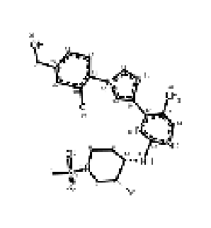 C[C@@H]1CN(S(C)(=O)=O)CC[C@@H]1Nc1ncc(C(F)(F)F)c(-c2cn(-c3ccc(CO)cc3Cl)cn2)n1